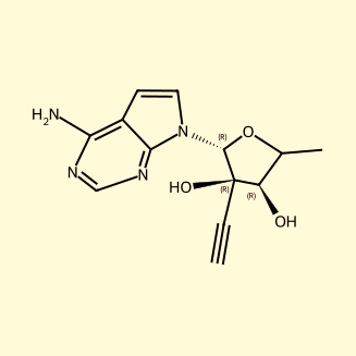 C#C[C@@]1(O)[C@H](O)C(C)O[C@H]1n1ccc2c(N)ncnc21